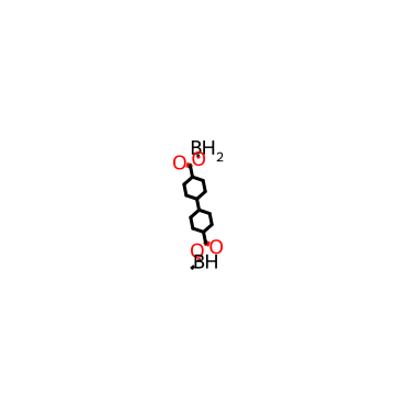 BOC(=O)C1CCC(C2CCC(C(=O)OBC)CC2)CC1